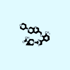 Cc1cccc(-c2csc(N3CC[C@@]4(C(=O)O)C[C@H]4C3)n2)c1OCc1cnc2c(c1)CCN(C1CCOCC1)C2